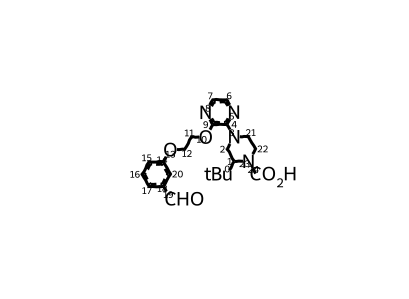 CC(C)(C)C1CN(c2nccnc2OCCOc2cccc(C=O)c2)CCN1C(=O)O